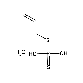 C=CCSP(O)(O)=S.O